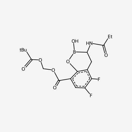 CCC(=O)NC1Cc2c(F)c(F)cc(C(=O)OCOC(=O)C(C)(C)C)c2OB1O